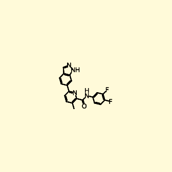 Cc1ccc(-c2ccc3cn[nH]c3c2)nc1C(=O)Nc1ccc(F)c(F)c1